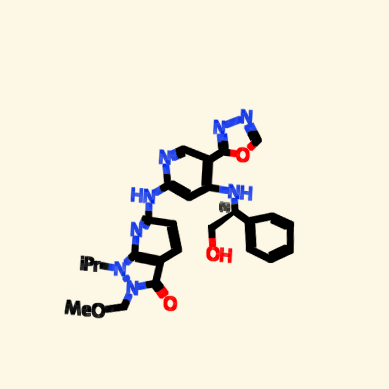 COCn1c(=O)c2ccc(Nc3cc(N[C@H](CO)c4ccccc4)c(-c4nnco4)cn3)nc2n1C(C)C